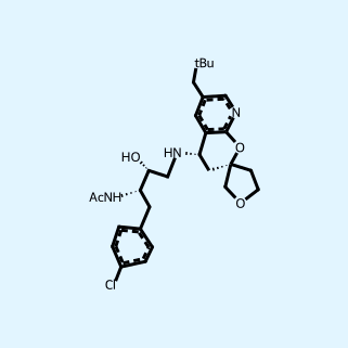 CC(=O)N[C@@H](Cc1ccc(Cl)cc1)[C@H](O)CN[C@H]1C[C@@]2(CCOC2)Oc2ncc(CC(C)(C)C)cc21